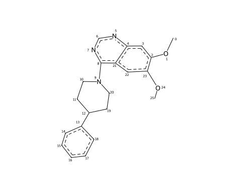 COc1cc2ncnc(N3CCC(c4ccccc4)CC3)c2cc1OC